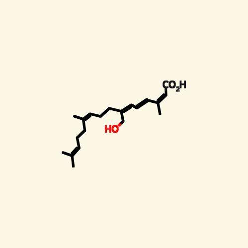 CC(C)=CCCC(C)=CCCC(=CC=CC(C)=CC(=O)O)CO